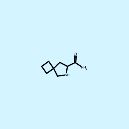 NC(=O)C1CC2(CCC2)CN1